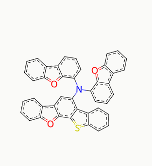 c1ccc2c(c1)oc1c(N(c3cccc4c3oc3ccccc34)c3cc4c5ccccc5oc4c4sc5ccccc5c34)cccc12